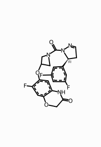 O=C1COc2cc(F)c(OC3CN(C(=O)N4N=CC[C@H]4c4cc(F)cc(F)c4)C3)cc2N1